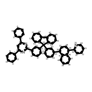 c1ccc(-c2cc(-c3ccccc3)nc(-c3cccc(C4(c5cccc(-c6ccc(-c7ccccn7)c7ccccc67)c5)c5ccccc5-c5ccccc54)c3)n2)cc1